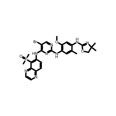 COc1cc(NC2=NC(C)(C)CO2)c(C)cc1Nc1ncc(Br)c(Nc2ccc3nccnc3c2P(C)(C)=O)n1